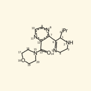 CC(C)C1NCCN=C1c1nccnc1C(=O)N1CCOCC1